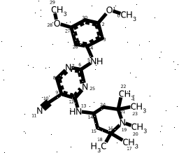 COc1cc(Nc2ncc(C#N)c(NC3CC(C)(C)N(C)C(C)(C)C3)n2)cc(OC)c1